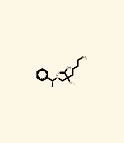 BCCCCC(N)(CN[C@@H](C)c1ccccc1)C(=O)O